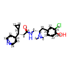 CN(C)[C@H](CNC(=O)C[C@H](c1ccncc1)C1CC1)Cc1ccc(O)c(Cl)c1